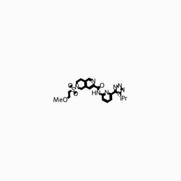 COCCS(=O)(=O)N1CCc2cnc(C(=O)Nc3cccc(-c4nnnn4C(C)C)n3)cc2C1